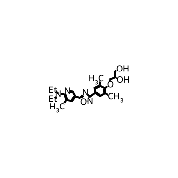 CCN(CC)c1ncc(-c2nc(-c3cc(C)c(OC[C@H](O)CO)c(C)c3)no2)cc1C